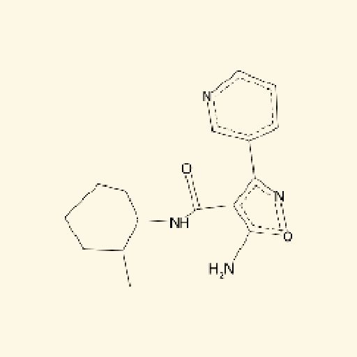 CC1CCCCC1NC(=O)c1c(-c2cccnc2)noc1N